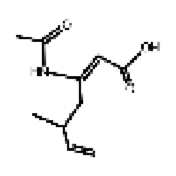 C=CC(C)CC(=CC(=O)O)NC(C)=O